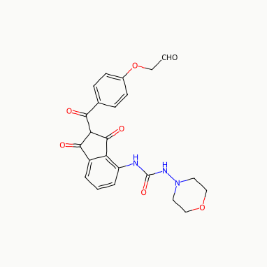 O=CCOc1ccc(C(=O)C2C(=O)c3cccc(NC(=O)NN4CCOCC4)c3C2=O)cc1